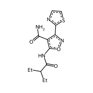 CCC(CC)C(=O)Nc1onc(-c2nccs2)c1C(N)=O